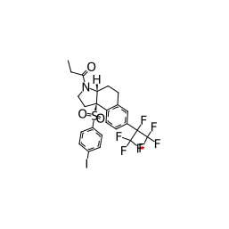 CCC(=O)N1CC[C@@]2(S(=O)(=O)c3ccc(I)cc3)c3ccc(C(F)(C(F)(F)F)C(F)(F)F)cc3CC[C@@H]12